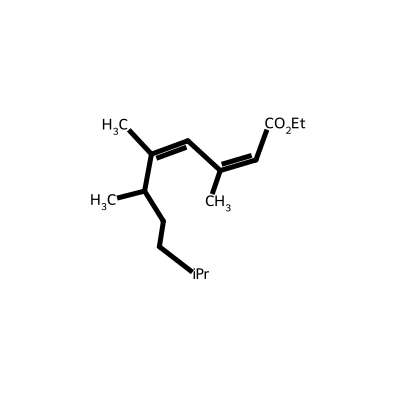 CCOC(=O)C=C(C)C=C(C)C(C)CCC(C)C